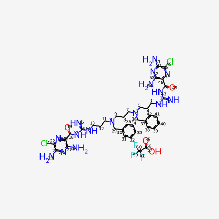 N=C(NCCCN(CCCN(CCCNC(=N)NC(=O)c1nc(Cl)c(N)nc1N)Cc1ccccc1)Cc1ccccc1)NC(=O)c1nc(Cl)c(N)nc1N.O=C(O)C(F)(F)F